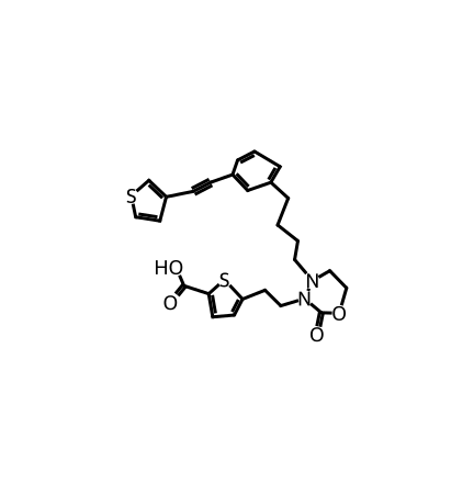 O=C(O)c1ccc(CCN2C(=O)OCCN2CCCCc2cccc(C#Cc3ccsc3)c2)s1